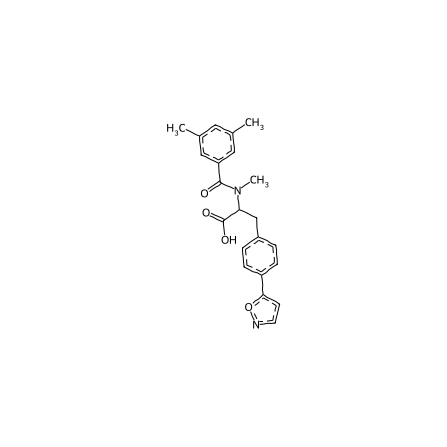 Cc1cc(C)cc(C(=O)N(C)C(Cc2ccc(-c3ccno3)cc2)C(=O)O)c1